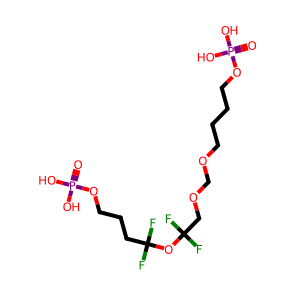 O=P(O)(O)OCCCCOCOCC(F)(F)OC(F)(F)CCCOP(=O)(O)O